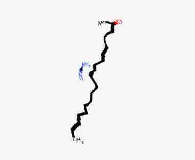 CCCCCCCCCCCCCCCCC[C](=O)[Mn].N#CN